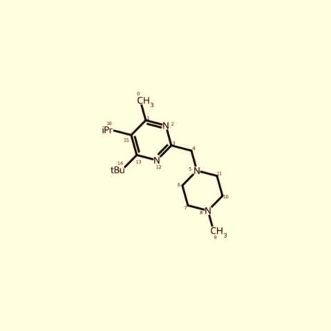 Cc1nc(CN2CCN(C)CC2)nc(C(C)(C)C)c1C(C)C